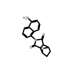 Nc1cccc2c(N3C(=O)C4C5CCC(O5)C4C3=O)cccc12